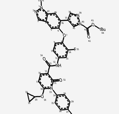 CCn1ncc2cc(Oc3ccc(NC(=O)c4ccc(OC5CC5)n(-c5ccc(F)cc5)c4=O)cc3F)c(-c3cnn(C(=O)OC(C)(C)C)c3)cc21